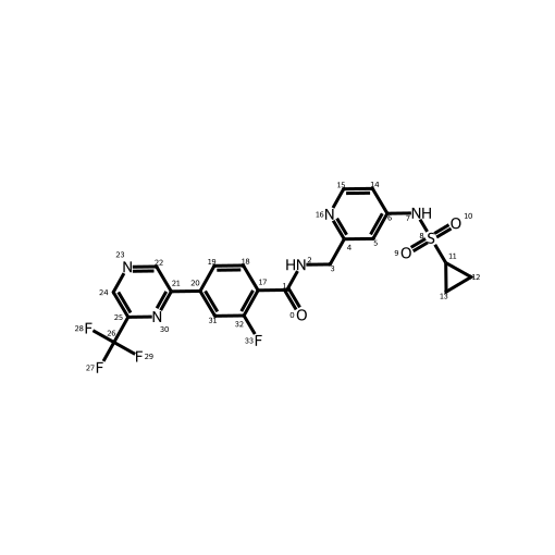 O=C(NCc1cc(NS(=O)(=O)C2CC2)ccn1)c1ccc(-c2cncc(C(F)(F)F)n2)cc1F